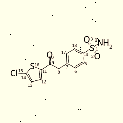 NS(=O)(=O)c1ccc(CC(=O)c2ccc(Cl)s2)cc1